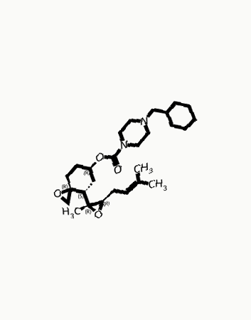 CC(C)=CC[C@H]1O[C@]1(C)[C@H]1C[C@H](OC(=O)N2CCN(CC3CCCCC3)CC2)CC[C@]12CO2